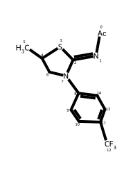 CC(=O)N=C1SC(C)CN1c1ccc(C(F)(F)F)cc1